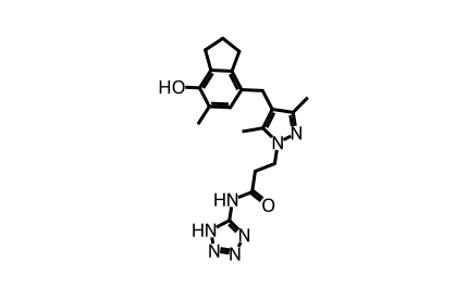 Cc1cc(Cc2c(C)nn(CCC(=O)Nc3nnn[nH]3)c2C)c2c(c1O)CCC2